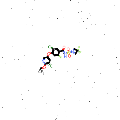 O=C(NS(=O)(=O)N1CC(F)(F)C1)c1cc(Cl)c(Oc2cnc(OCC(F)(F)F)c(Cl)c2)cc1F